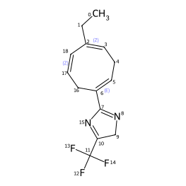 CCC1=C/C/C=C(/C2=NCC(C(F)(F)F)=N2)C/C=C\1